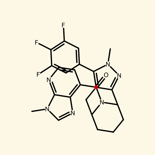 Cn1nc2c(c1-c1cc(F)c(F)c(F)c1)CC1CCCC2N1C(=O)c1ccnc2c1ncn2C